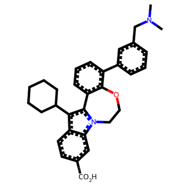 CN(C)Cc1cccc(-c2cccc3c2OCCn2c-3c(C3CCCCC3)c3ccc(C(=O)O)cc32)c1